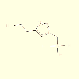 CCCc1cn(C[Si](C)(C)C)nn1